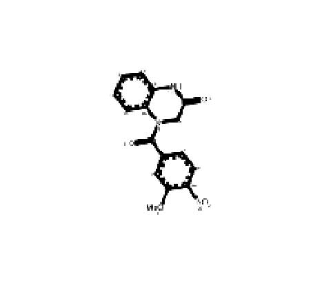 COc1cc(C(=O)N2CC(=O)Nc3ccccc32)ccc1[N+](=O)[O-]